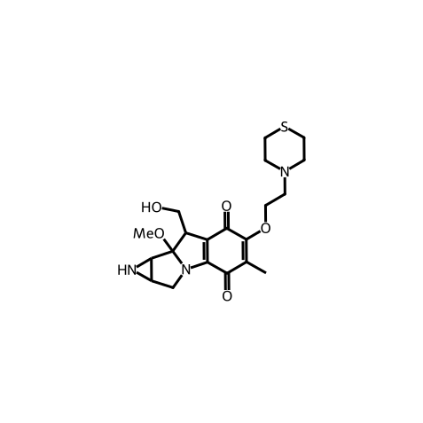 COC12C(CO)C3=C(C(=O)C(C)=C(OCCN4CCSCC4)C3=O)N1CC1NC12